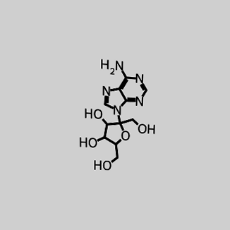 Nc1ncnc2c1ncn2C1(CO)OC(CO)C(O)C1O